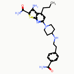 CCCc1cc(N2CCC(NCCc3ccc(C(N)=O)cc3)CC2)nc2sc(C(N)=O)c(N)c12